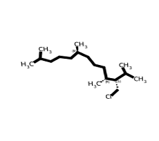 C[C](C)[C@H](CCl)[C@H](C)CCC[C@H](C)CCCC(C)C